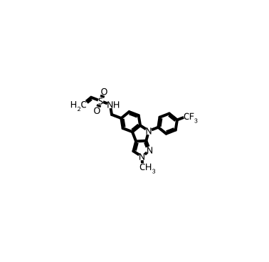 C=CS(=O)(=O)NCc1ccc2c(c1)c1cn(C)nc1n2-c1ccc(C(F)(F)F)cc1